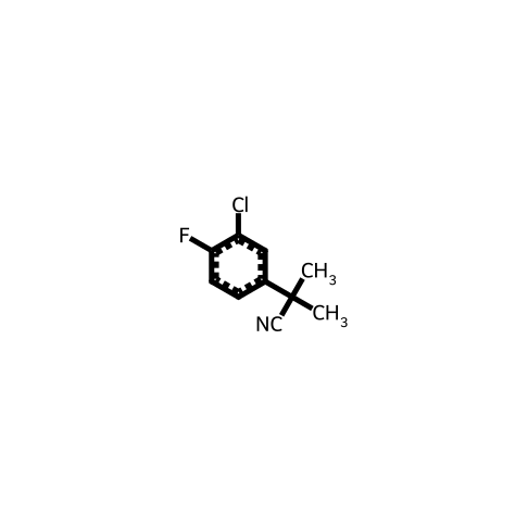 CC(C)(C#N)c1ccc(F)c(Cl)c1